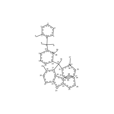 Cc1ccccc1C(C)(C)c1cccc(C(C)(c2c(C)ccc3oc4ccccc4c23)c2cccc[n+]2C)[n+]1C